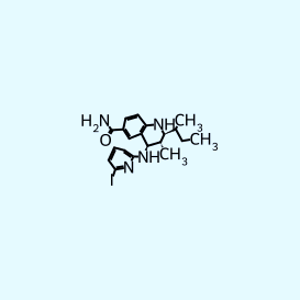 CCC(C)[C@@H]1Nc2ccc(C(N)=O)cc2[C@H](Nc2cccc(I)n2)[C@H]1C